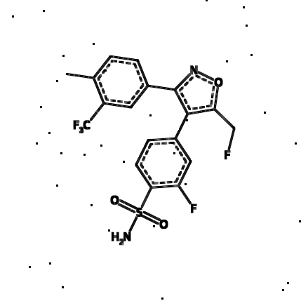 Cc1ccc(-c2noc(CF)c2-c2ccc(S(N)(=O)=O)c(F)c2)cc1C(F)(F)F